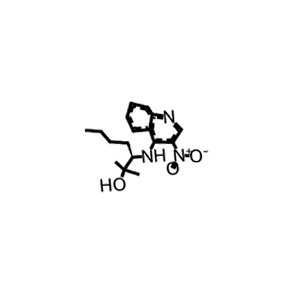 CCCC[C@@H](Nc1c([N+](=O)[O-])cnc2ccccc12)C(C)(C)O